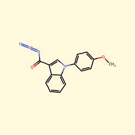 COc1ccc(-n2cc(C(=O)N=[N+]=[N-])c3ccccc32)cc1